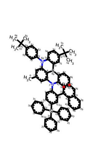 Cc1cc2c3c(c1)N(c1ccc([Si](c4ccccc4)(c4ccccc4)c4ccccc4)cc1-c1cccc4ccccc14)c1ccccc1B3c1cc(C(C)(C)C)ccc1N2c1ccc(C(C)(C)C)cc1